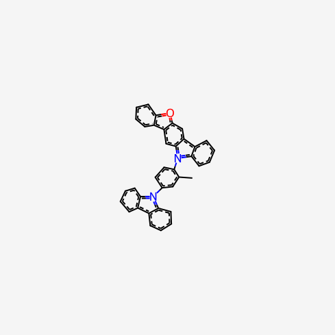 Cc1cc(-n2c3ccccc3c3ccccc32)ccc1-n1c2ccccc2c2cc3oc4ccccc4c3cc21